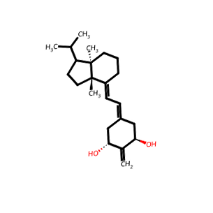 C=C1[C@H](O)CC(=C/C=C2\CCC[C@]3(C)C(C(C)C)CC[C@@]23C)C[C@H]1O